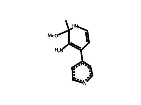 COC1(C)NC=CC(c2ccncc2)=C1N